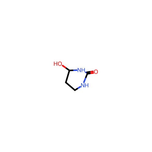 O=C1NCCC(O)N1